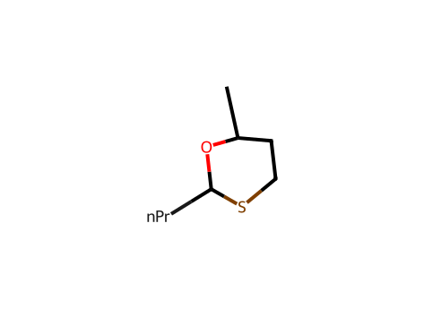 CCCC1OC(C)CCS1